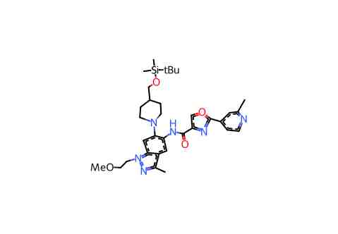 COCCn1nc(C)c2cc(NC(=O)c3coc(-c4ccnc(C)c4)n3)c(N3CCC(CO[Si](C)(C)C(C)(C)C)CC3)cc21